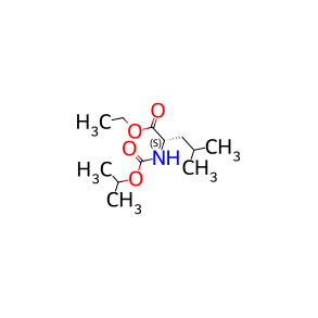 CCOC(=O)[C@H](CC(C)C)NC(=O)OC(C)C